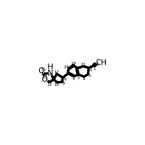 C#CC1CCc2cc(C3CCC4(COC(=O)N4)C3)ccc2C1